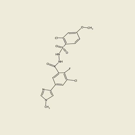 COc1ccc(S(=O)(=O)NNC(=O)c2cc(-c3cn(C)cn3)cc(Cl)c2F)c(Cl)c1